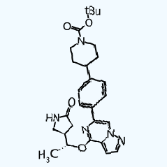 C[C@@H](Oc1nc(-c2ccc(C3CCN(C(=O)OC(C)(C)C)CC3)cc2)cn2nccc12)[C@H]1CNC(=O)C1